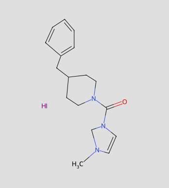 CN1C=CN(C(=O)N2CCC(Cc3ccccc3)CC2)C1.I